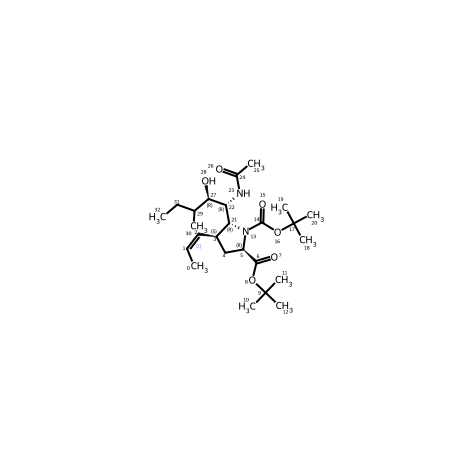 C/C=C\[C@@H]1C[C@H](C(=O)OC(C)(C)C)N(C(=O)OC(C)(C)C)[C@H]1[C@@H](NC(C)=O)[C@H](O)C(C)CC